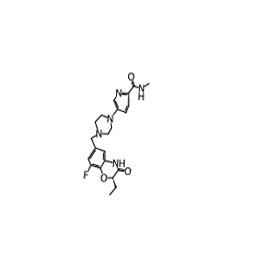 CC[C@H]1Oc2c(F)cc(CN3CCN(c4ccc(C(=O)NC)nc4)CC3)cc2NC1=O